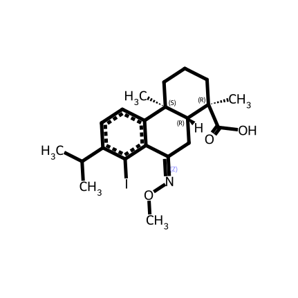 CO/N=C1/C[C@H]2[C@](C)(C(=O)O)CCC[C@]2(C)c2ccc(C(C)C)c(I)c21